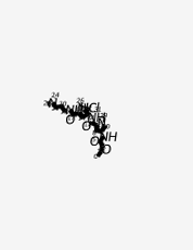 CC1OC1C(=O)Nc1cc(C(=O)Nc2cc(C(=O)NCCCN(C)C)n(C)c2)n(C)c1.Cl